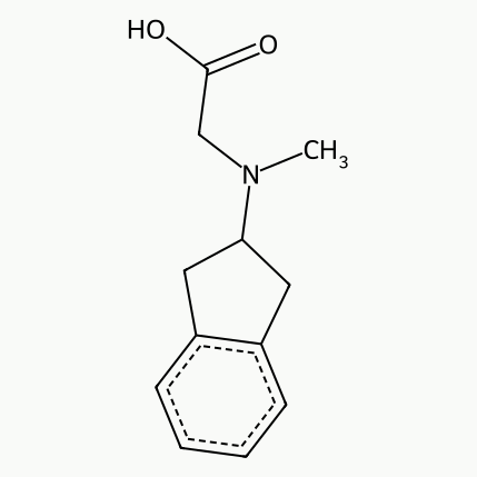 CN(CC(=O)O)C1Cc2ccccc2C1